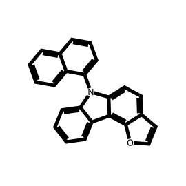 c1ccc2c(-n3c4ccccc4c4c5occc5ccc43)cccc2c1